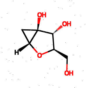 OC[C@H]1O[C@@H]2C[C@]2(O)[C@@H]1O